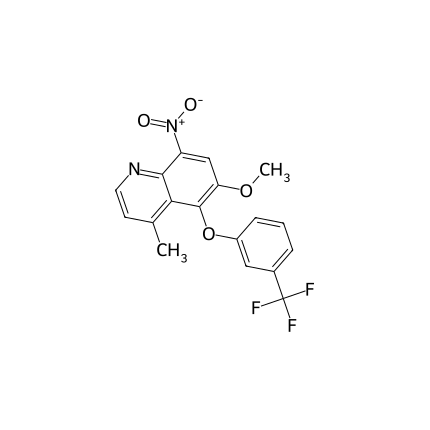 COc1cc([N+](=O)[O-])c2nccc(C)c2c1Oc1cccc(C(F)(F)F)c1